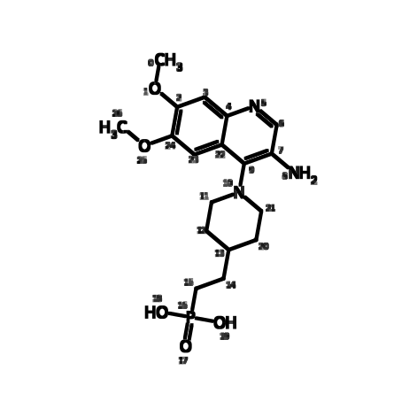 COc1cc2ncc(N)c(N3CCC(CCP(=O)(O)O)CC3)c2cc1OC